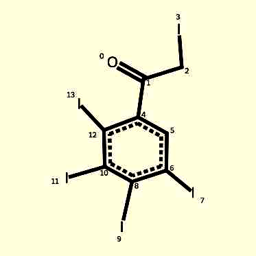 O=C(CI)c1cc(I)c(I)c(I)c1I